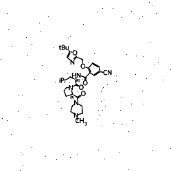 CC(C)C[C@@H](NC(=O)c1cc(C#N)ccc1OCc1ncc(C(C)(C)C)o1)C(=O)N1CCC[C@@H]1C(=O)N1CCN(C)CC1